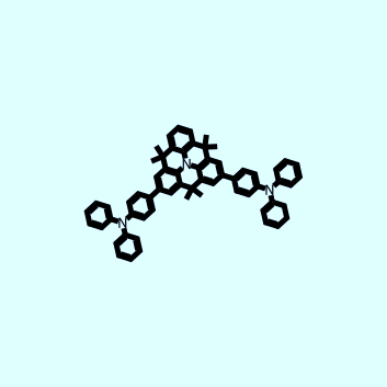 CC1(C)c2cccc3c2N2c4c1cc(-c1ccc(N(C5=CC=CCC5)c5ccccc5)cc1)cc4C(C)(C)c1cc(-c4ccc(N(c5ccccc5)c5ccccc5)cc4)cc(c12)C3(C)C